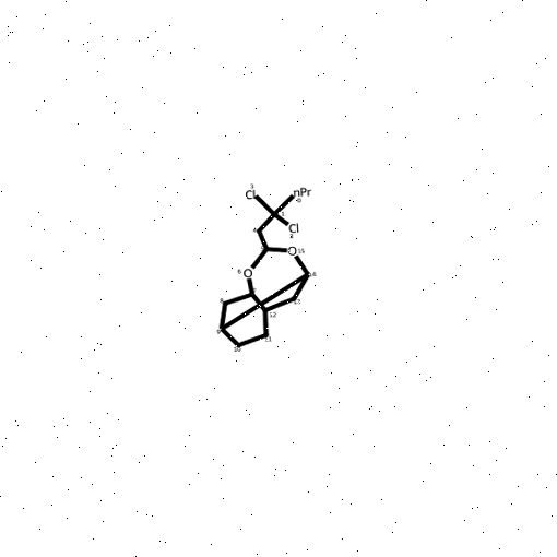 [CH2]CCC(Cl)(Cl)C[C]1OC2CC3CCC2CC3O1